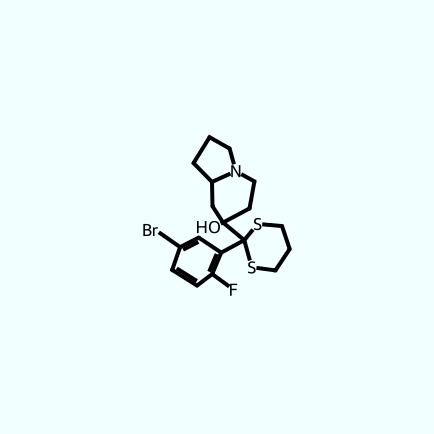 OC1(C2(c3cc(Br)ccc3F)SCCCS2)CCN2CCCC2C1